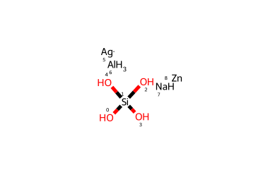 O[Si](O)(O)O.[Ag].[AlH3].[NaH].[Zn]